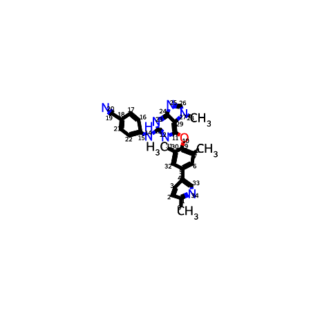 Cc1ccc(-c2cc(C)c(Oc3nc(Nc4ccc(C#N)cc4)nc4ncn(C)c34)c(C)c2)cn1